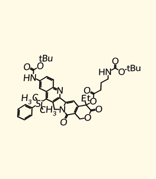 CCC1(OC(=O)CCCNC(=O)OC(C)(C)C)C(=O)OCc2c1cc1n(c2=O)Cc2c-1nc1ccc(NC(=O)OC(C)(C)C)cc1c2[Si](C)(C)c1ccccc1